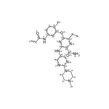 C=CC(=O)Nc1ccc(F)c(Oc2nc(Nc3cnc(N4CCN(C)CC4)nc3)c(C(N)=O)nc2CC)c1